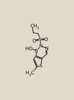 CCCS(=O)(=O)N1N=Cc2sc(C)cc2B1O